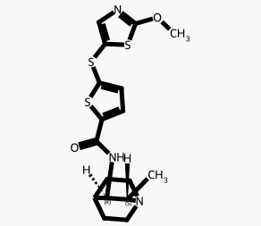 COc1ncc(Sc2ccc(C(=O)N[C@@H]3C4CCN(CC4)[C@H]3C)s2)s1